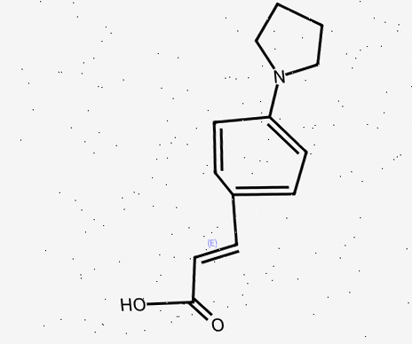 O=C(O)/C=C/c1ccc(N2CCCC2)cc1